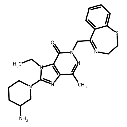 CCn1c(N2CCCC(N)C2)nc2c(C)nn(CC3=NCCSc4ccccc43)c(=O)c21